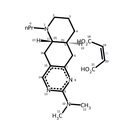 CCCN1CCC[C@H]2Cc3nc(N(C)C)ncc3C[C@@H]21.O=C(O)/C=C\C(=O)O